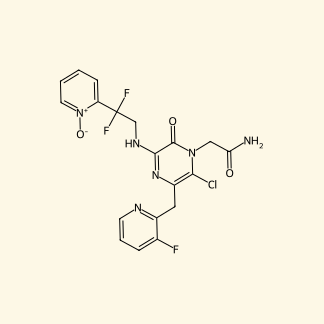 NC(=O)Cn1c(Cl)c(Cc2ncccc2F)nc(NCC(F)(F)c2cccc[n+]2[O-])c1=O